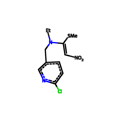 CCN(Cc1ccc(Cl)nc1)C(=C[N+](=O)[O-])SC